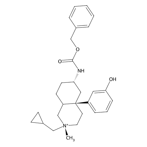 C[N@+]1(CC2CC2)CC[C@@]2(c3cccc(O)c3)C[C@@H](NC(=O)OCc3ccccc3)CCC2C1